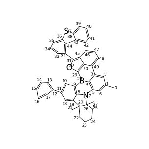 Cc1cc2c3c(c1)N1c4c(cc(-c5ccccc5)cc4C4(C)CCCCC14C)B3c1oc(-c3cccc4sc5ccccc5c34)c3cccc-2c13